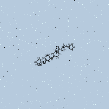 O=C(N[C@@H]1CC1c1ccccc1)N1CCC(=Cc2cccc(Oc3ccccn3)c2)CC1